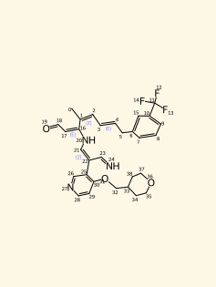 CC(=C/C=C/Cc1cccc(C(F)(F)F)c1)/C(=C\C=O)N/C=C(\C=N)c1cnccc1OCC1CCOCC1